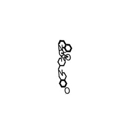 COc1ccc2c(c1)CCN(CC1CCN(S(=O)(=O)c3cccc4cccnc34)CC1)C2